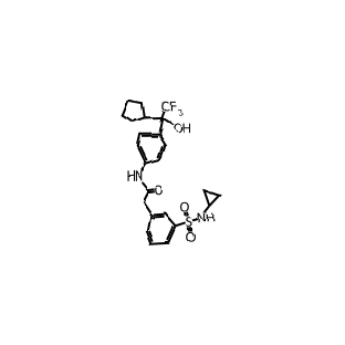 O=C(Cc1cccc(S(=O)(=O)NC2CC2)c1)Nc1ccc(C(O)(C2CCCC2)C(F)(F)F)cc1